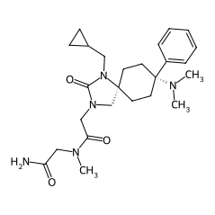 CN(CC(N)=O)C(=O)CN1C[C@]2(CC[C@@](c3ccccc3)(N(C)C)CC2)N(CC2CC2)C1=O